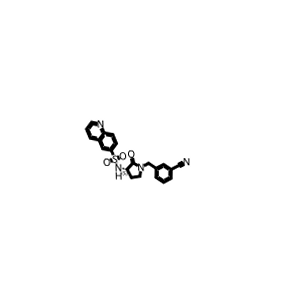 N#Cc1cccc(CN2CC[C@H](NS(=O)(=O)c3ccc4ncccc4c3)C2=O)c1